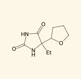 CCC1(C2CCCO2)NC(=O)NC1=O